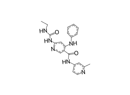 CCNC(=O)Nc1cc(Nc2ccccc2)c(C(=O)Nc2ccnc(C)c2)cn1